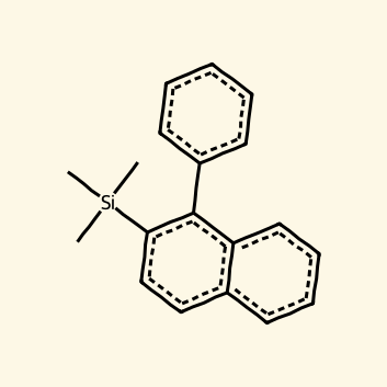 C[Si](C)(C)c1ccc2ccccc2c1-c1ccccc1